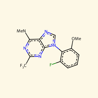 CNc1nc(C(F)(F)F)nc2c1ncn2-c1c(F)cccc1OC